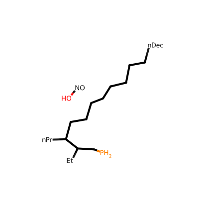 CCCCCCCCCCCCCCCCCCC(CCC)C(CC)CP.O=NO